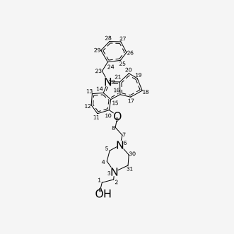 OCCN1CCN(CCOc2cccc3c2c2ccccc2n3Cc2ccccc2)CC1